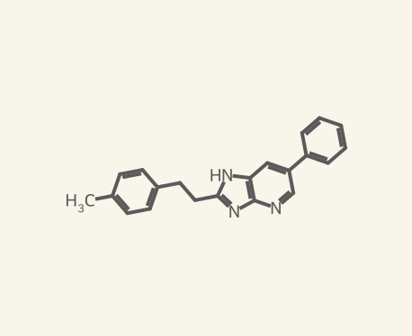 Cc1ccc(CCc2nc3ncc(-c4ccccc4)cc3[nH]2)cc1